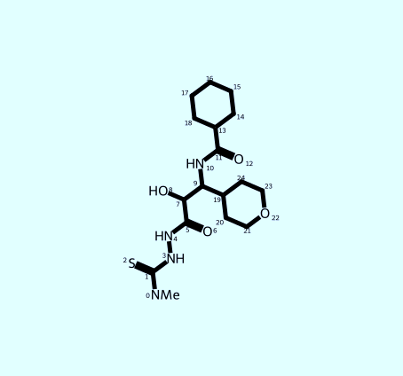 CNC(=S)NNC(=O)C(O)C(NC(=O)C1CCCCC1)C1CCOCC1